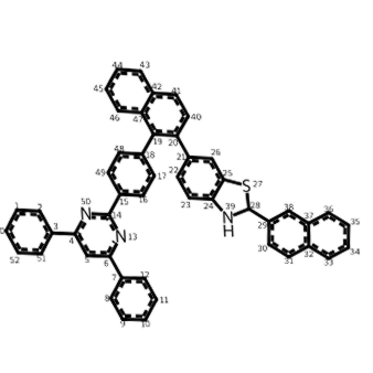 c1ccc(-c2cc(-c3ccccc3)nc(-c3ccc(-c4c(-c5ccc6c(c5)SC(c5ccc7ccccc7c5)N6)ccc5ccccc45)cc3)n2)cc1